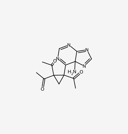 CC(=O)C1(C(C)=O)CC1(C(C)=O)C1=NC=NC2=NC=NC21N